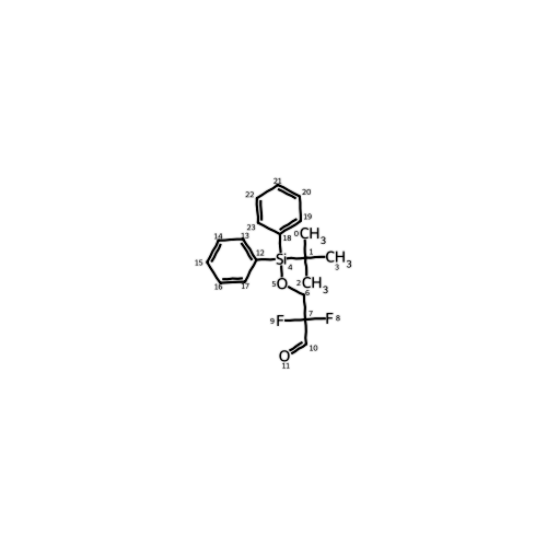 CC(C)(C)[Si](OCC(F)(F)C=O)(c1ccccc1)c1ccccc1